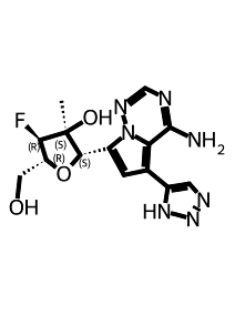 C[C@@]1(O)[C@H](F)[C@@H](CO)O[C@H]1c1cc(-c2cnn[nH]2)c2c(N)ncnn12